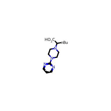 CCCCC(C(=O)O)N1CCN(c2ncccn2)CC1